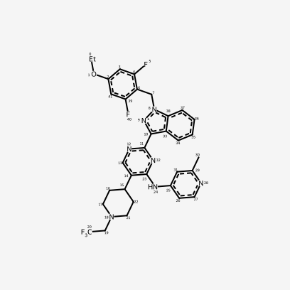 CCOc1cc(F)c(Cn2nc(-c3ncc(C4CCN(CC(F)(F)F)CC4)c(Nc4ccnc(C)c4)n3)c3ccccc32)c(F)c1